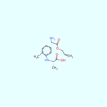 C=CCOC(=O)CN.Cc1ccccc1N[C@@H](C)C(=O)O